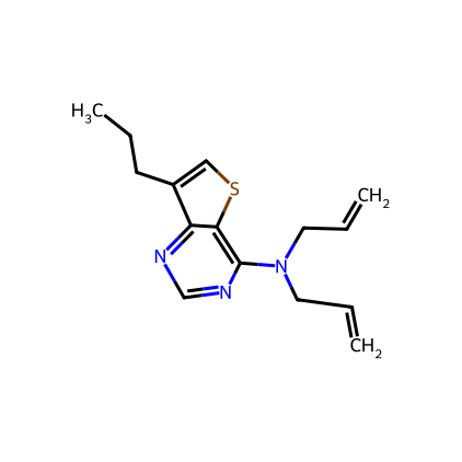 C=CCN(CC=C)c1ncnc2c(CCC)csc12